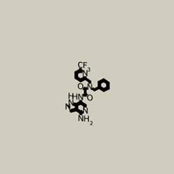 Nc1ncc(NC(=O)C(=O)N(Cc2ccccc2)Cc2cccc(C(F)(F)F)n2)c2[nH]ncc12